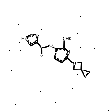 O=Cc1nc(N2CC3(CC3)C2)ccc1OC(=O)c1c[nH]nn1